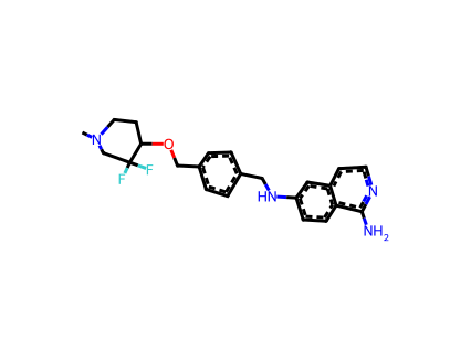 CN1CCC(OCc2ccc(CNc3ccc4c(N)nccc4c3)cc2)C(F)(F)C1